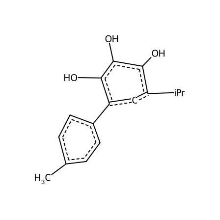 Cc1ccc(-c2cc(C(C)C)c(O)c(O)c2O)cc1